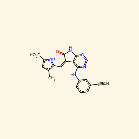 C#Cc1cccc(Nc2ncnc3c2C(=Cc2[nH]c(C(=O)O)cc2C)C(=O)N3)c1